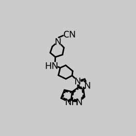 N#CCN1CCC(NC2CCC(n3cnc4cnc5[nH]ccc5c43)CC2)CC1